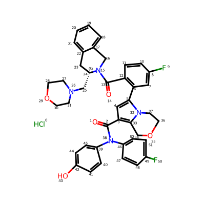 Cl.O=C(c1cc(-c2cc(F)ccc2C(=O)N2Cc3ccccc3C[C@H]2CN2CCOCC2)n2c1COCC2)N(c1ccc(O)cc1)c1ccc(F)cc1